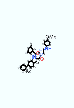 COc1ccc(NCCNC(=O)[C@H](Cc2ccc(-c3ccccc3C(C)=O)cc2)NC(=O)c2cccc(C)c2)cc1